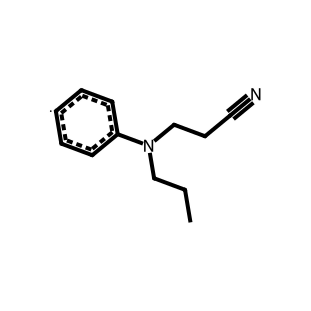 CCCN(CCC#N)c1cc[c]cc1